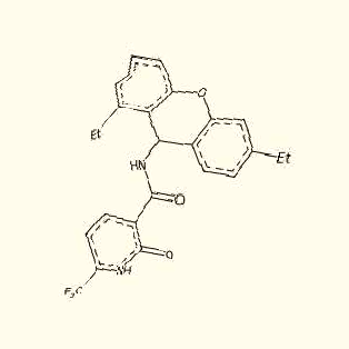 CCc1ccc2c(c1)Oc1cccc(CC)c1C2NC(=O)c1ccc(C(F)(F)F)[nH]c1=O